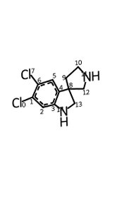 Clc1cc2c(cc1Cl)C1(CCNC1)CN2